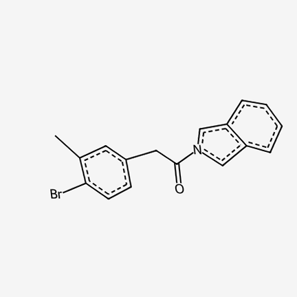 Cc1cc(CC(=O)n2cc3ccccc3c2)ccc1Br